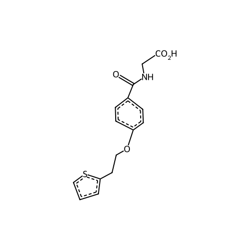 O=C(O)CNC(=O)c1ccc(OCCc2cccs2)cc1